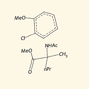 CCCC(C)(NC(C)=O)C(=O)OC.COc1ccccc1Cl